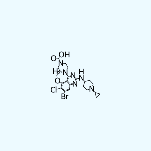 O=C(O)N1CCN2c3nc(NC4CCN(C5CC5)CC4)nc4cc(Br)c(Cl)c(c34)OC[C@@H]2C1